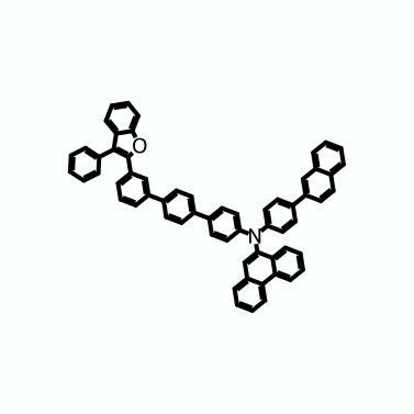 c1ccc(-c2c(-c3cccc(-c4ccc(-c5ccc(N(c6ccc(-c7ccc8ccccc8c7)cc6)c6cc7ccccc7c7ccccc67)cc5)cc4)c3)oc3ccccc23)cc1